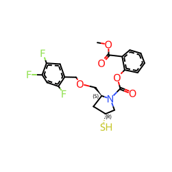 COC(=O)c1ccccc1OC(=O)N1C[C@H](S)C[C@H]1COCc1cc(F)c(F)cc1F